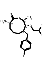 C[C@@H]1OC(=O)[C@@H](N)CCC[C@H](Cc2ccc(F)cc2)[C@H]1OCC(F)F